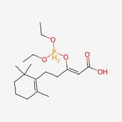 CCO[PH2](OCC)O/C(=C\C(=O)O)CCC1=C(C)CCCC1(C)C